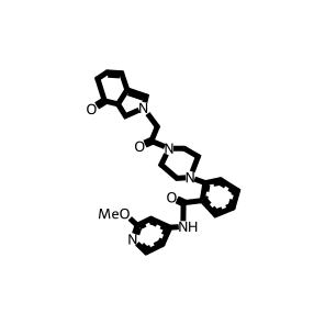 COc1cc(NC(=O)c2ccccc2N2CCN(C(=O)CN3C=C4C=CCC(=O)C4C3)CC2)ccn1